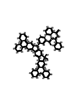 C=C(/N=C(\N=C(/C)c1cccc(-n2c3cc4c(cc3c3cc5c6ccccc6c6ccccc6c5cc32)-c2cc3c5ccccc5c5ccccc5c3cc2C4(C)C)c1)c1ccccc1)c1ccccc1